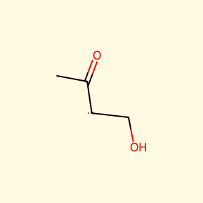 CC(=O)[CH]CO